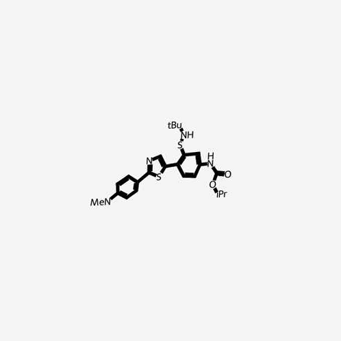 CNc1ccc(-c2ncc(-c3ccc(NC(=O)OC(C)C)cc3SNC(C)(C)C)s2)cc1